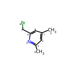 Cc1cc(C)nc(CBr)c1